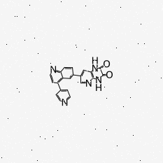 O=c1[nH]c2cc(-c3ccc4nccc(-c5ccncc5)c4c3)cnc2[nH]c1=O